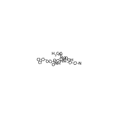 Cc1cccc(CN2Cc3cc4c(cc3CC2C(=O)N[C@@H](Cc2ccc(-c3ccc(C#N)cc3)cc2)C(=O)O)NC(=O)C(c2ccc(OCc3ccc(Cl)c(Cl)c3)cc2)O4)n1